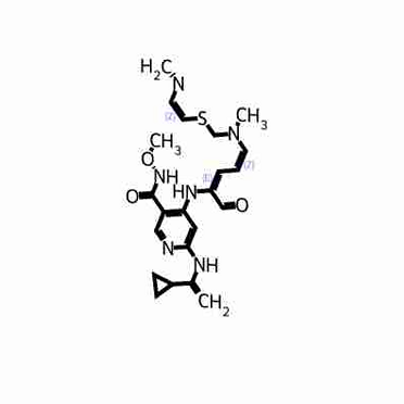 C=N/C=C\SCN(C)/C=C\C=C(/C=O)Nc1cc(NC(=C)C2CC2)ncc1C(=O)NOC